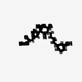 COC(=O)Cn1cc(C(=O)N[C@@H](CC/N=C/c2cccc(O)c2)C(=O)OC)nn1